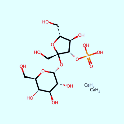 O=P(O)(O)O[C@H]1[C@H](O)[C@@H](CO)O[C@@]1(CO)O[C@H]1O[C@H](CO)[C@@H](O)[C@H](O)[C@H]1O.[CaH2].[CaH2]